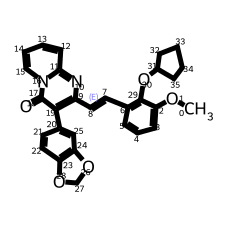 COc1cccc(/C=C/c2nc3ccccn3c(=O)c2-c2ccc3c(c2)OCO3)c1OC1CCCC1